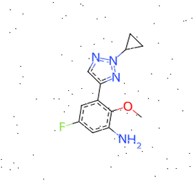 COc1c(N)cc(F)cc1-c1cnn(C2CC2)n1